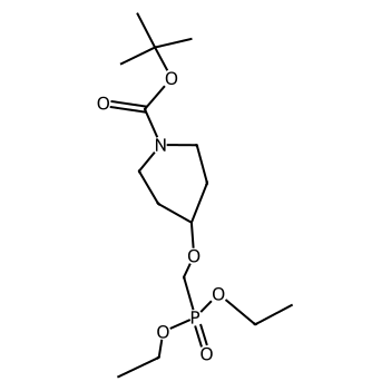 CCOP(=O)(COC1CCN(C(=O)OC(C)(C)C)CC1)OCC